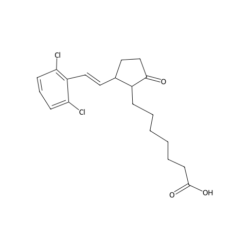 O=C(O)CCCCCCC1C(=O)CCC1C=Cc1c(Cl)cccc1Cl